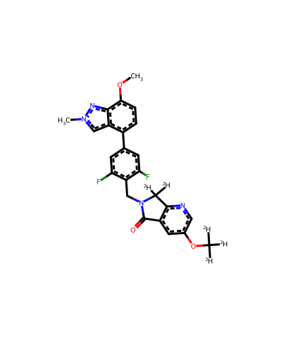 [2H]C([2H])([2H])Oc1cnc2c(c1)C(=O)N(Cc1c(F)cc(-c3ccc(OC)c4nn(C)cc34)cc1F)C2([2H])[2H]